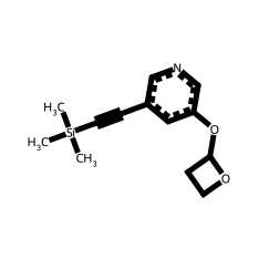 C[Si](C)(C)C#Cc1cncc(OC2CCO2)c1